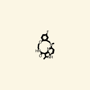 CC1NN2C=CC3=NC2=C1C(=O)NCCOc1ccc(F)cc1CN3C